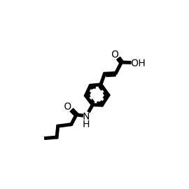 CCCCC(=O)Nc1ccc(C=CC(=O)O)cc1